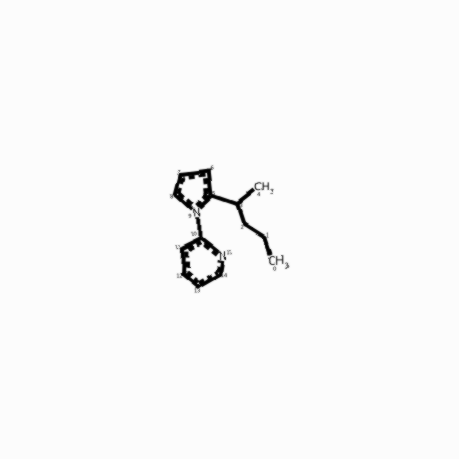 CCCC(C)c1cccn1-c1ccccn1